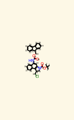 CC(C)(C)OC(=O)N1CC(CCl)c2c1cc(NC(=O)OCC1c3ccccc3-c3ccccc31)c1ccccc21